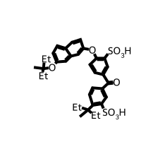 CCC(C)(CC)Oc1ccc2ccc(Oc3ccc(C(=O)c4ccc(C(C)(CC)CC)c(S(=O)(=O)O)c4)cc3S(=O)(=O)O)cc2c1